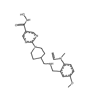 C=CN(C)c1ccc(OC)cc1CNCC1CCN(c2ncc(C(=O)NO)cn2)CC1